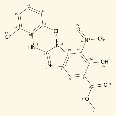 COC(=O)c1cc2nc(Nc3c(Cl)cccc3Cl)[nH]c2c([N+](=O)[O-])c1O